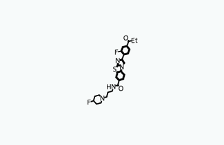 CCC(=O)c1ccc(-c2cn3c(n2)sc2cc(C(=O)NCCCN4CCC(F)CC4)ccc23)c(F)c1